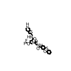 O=C(NCC(=O)N1C[C@H](OC(F)F)CC1C(=O)NCc1cc2c(s1)CNCC2)c1ccc2c(c1)Oc1ccccc1S2